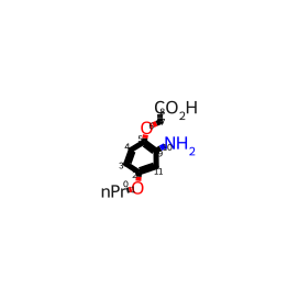 CCCOc1ccc(OCC(=O)O)c(N)c1